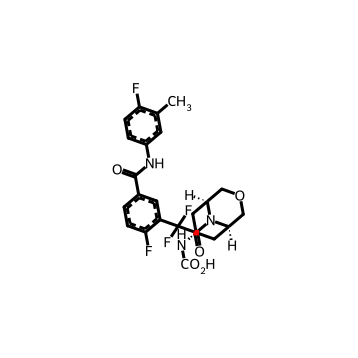 Cc1cc(NC(=O)c2ccc(F)c(C(F)(F)C(=O)N3[C@@H]4COC[C@H]3C[C@H](NC(=O)O)C4)c2)ccc1F